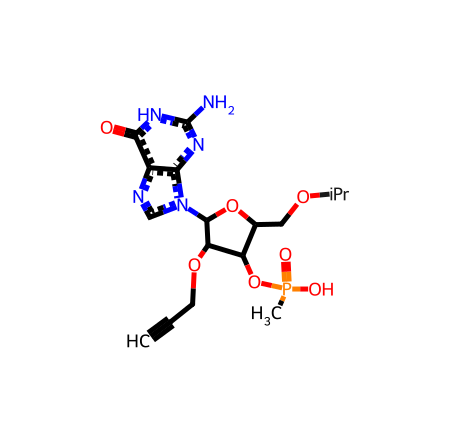 C#CCOC1C(OP(C)(=O)O)C(COC(C)C)OC1n1cnc2c(=O)[nH]c(N)nc21